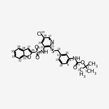 CC(C)(C)OC(=O)Nc1cccc(CSc2ncc(Cl)cc2NS(=O)(=O)c2cc3ccccc3o2)c1